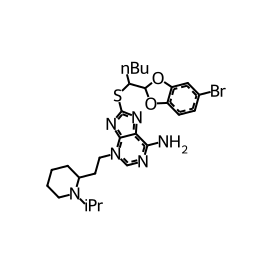 CCCCC(Sc1nc2c(N)ncn(CCC3CCCCN3C(C)C)c-2n1)C1Oc2ccc(Br)cc2O1